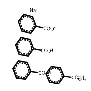 O=C(O)c1ccccc1.O=C(O)c1ccccc1.O=C(O)c1ccccc1.O=C([O-])c1ccccc1.P.[Na+]